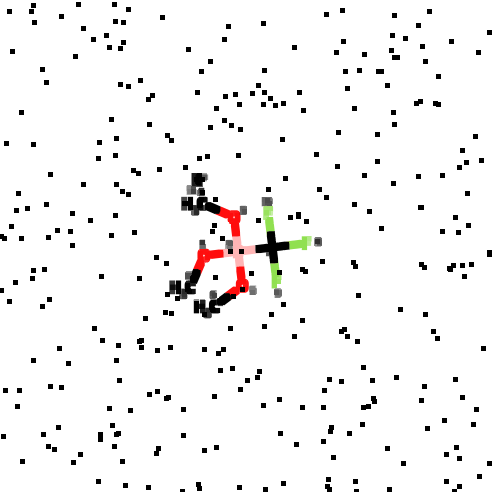 CO[B-](OC)(OC)C(F)(F)F.[K+]